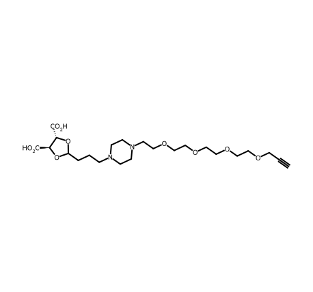 C#CCOCCOCCOCCOCCN1CCN(CCCC2O[C@@H](C(=O)O)[C@H](C(=O)O)O2)CC1